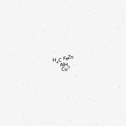 C.[AlH3].[Cu].[Fe].[Zn]